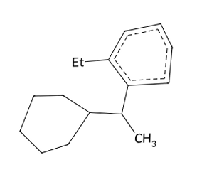 CCc1ccccc1C(C)C1CCCCC1